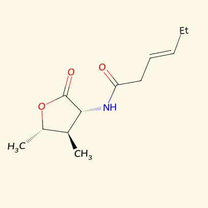 CC/C=C/CC(=O)N[C@H]1C(=O)O[C@@H](C)[C@@H]1C